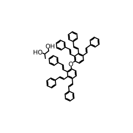 C(=C\c1ccc(Oc2ccc(/C=C/c3ccccc3)c(/C=C/c3ccccc3)c2/C=C/c2ccccc2)c(/C=C/c2ccccc2)c1/C=C/c1ccccc1)/c1ccccc1.CC(O)CO